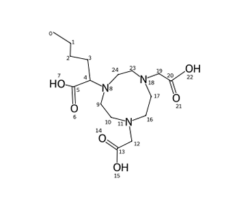 CCCCC(C(=O)O)N1CCN(CC(=O)O)CCN(CC(=O)O)CC1